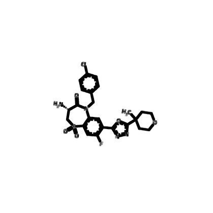 CC1(c2nnc(-c3cc4c(cc3F)S(=O)(=O)C[C@H](N)C(=O)N4Cc3ccc(Cl)cc3)o2)CCOCC1